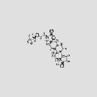 CC(C)(C)[Si](C)(C)OCCN1C[C@]2(CC[C@@]3(C)C(CCC4C3CC[C@]3(C)C(=O)CCC43)C2)OC1=O